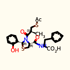 CC(=O)SC[C@@H](C)C(=O)N1[C@@H](c2ccccc2O)SC[C@H]1C(=O)NC(Cc1ccccc1)C(=O)O